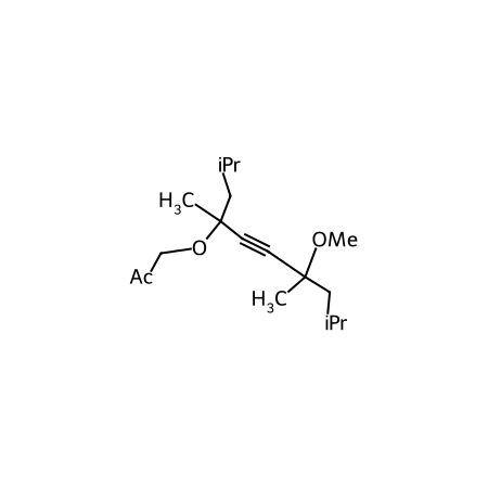 COC(C)(C#CC(C)(CC(C)C)OCC(C)=O)CC(C)C